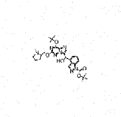 CN1CCCC1COc1nc(OC(C)(C)C)c2ncc(C(O)c3cccc4c3cnn4C(=O)OC(C)(C)C)n2n1